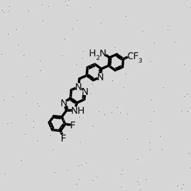 Nc1cc(C(F)(F)F)ccc1-c1ccc(CN2Cc3nc(-c4cccc(F)c4F)[nH]c3C=N2)cn1